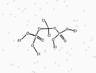 CCOP(=O)(OCC)OC(Cl)(Cl)OP(=O)(OCC)OCC